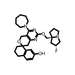 Oc1ccc2c(c1)C1(CCC2)Cc2nc(OC[C@@]34CCCN3C[C@H](F)C4)nc(N3CCCCCC3)c2CO1